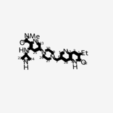 CCc1cc2ncc(CN3CCN(c4cnc(C(=O)NC)c(NC5CNC5)c4)CC3)cc2[nH]c1=O